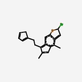 CC1=Cc2c(C)c3c(cc2=C1CCC1=CC=CC1)SC(Br)C=3